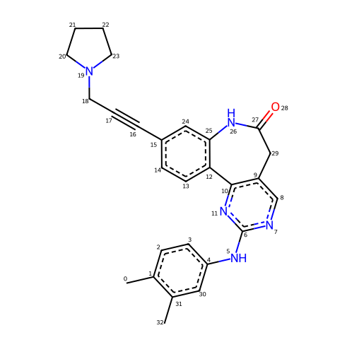 Cc1ccc(Nc2ncc3c(n2)-c2ccc(C#CCN4CCCC4)cc2NC(=O)C3)cc1C